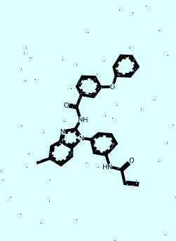 C=CC(=O)Nc1cccc(-n2c(NC(=O)c3cccc(Oc4ccccc4)c3)nc3cc(C)ccc32)c1